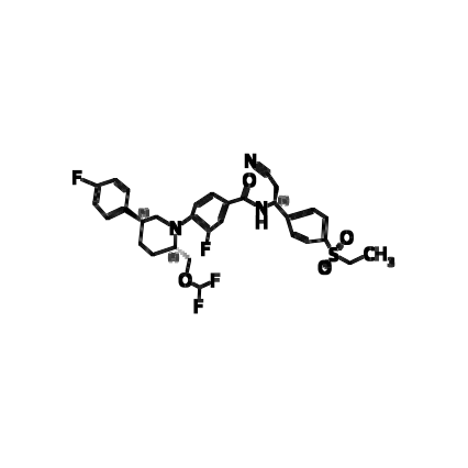 CCS(=O)(=O)c1ccc([C@H](CC#N)NC(=O)c2ccc(N3C[C@H](c4ccc(F)cc4)CC[C@H]3COC(F)F)c(F)c2)cc1